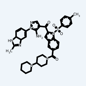 CC1=NC2C=C(n3ncc(C(=O)c4cc5cc(C(=O)N6CCC(N7CCCCC7)CC6)ccc5n4S(=O)(=O)c4ccc(C)cc4)c3N)C=CC2N1